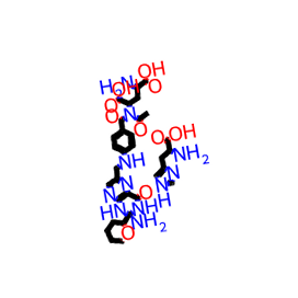 CC(=O)N(C(=O)c1ccc(NCc2cnc3c(n2)C(=O)NC(N)(C2CCCCO2)N3)cc1)C(CC(N)C(=O)O)C(=O)O.NC(Cc1c[nH]cn1)C(=O)O